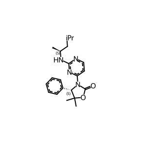 CC(C)C[C@H](C)Nc1nccc(N2C(=O)OC(C)(C)[C@@H]2c2ccccc2)n1